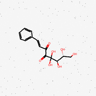 O=C(C=Cc1ccccc1)C(=O)C(O)(O)[C@H](O)[C@H](O)CO